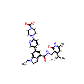 CCN1CCc2c(C(=O)NCc3c(C(C)C)cc(C)[nH]c3=O)cc(-c3ccc(N4CCN(C(=O)O)CC4)nc3)cc21